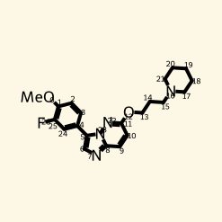 COc1ccc(-c2cnc3ccc(OCCCN4CCCCC4)nn23)cc1F